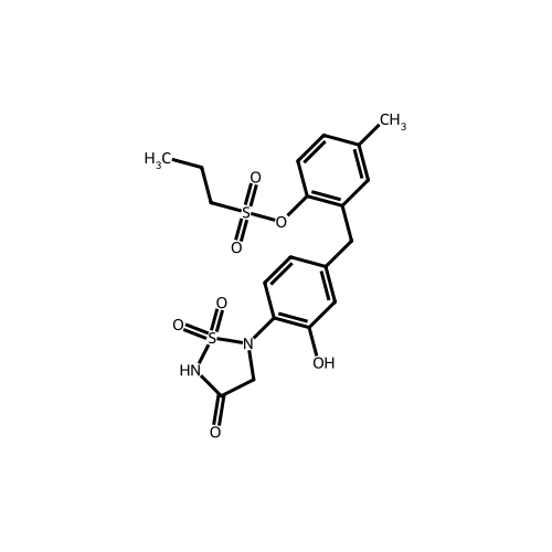 CCCS(=O)(=O)Oc1ccc(C)cc1Cc1ccc(N2CC(=O)NS2(=O)=O)c(O)c1